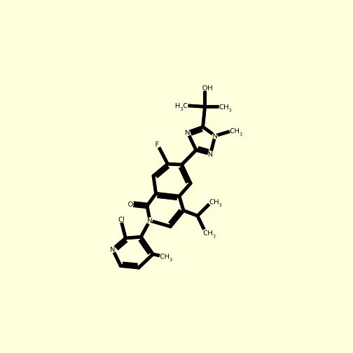 Cc1ccnc(Cl)c1-n1cc(C(C)C)c2cc(-c3nc(C(C)(C)O)n(C)n3)c(F)cc2c1=O